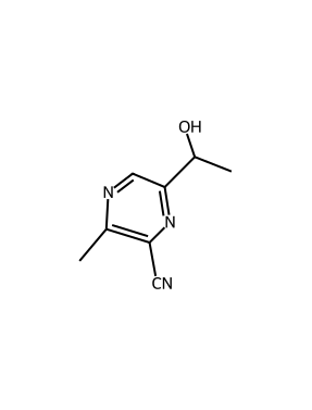 Cc1ncc(C(C)O)nc1C#N